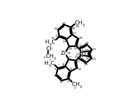 CCl.Cc1ccc(C)c2c1C=C(n1cccc1)[CH]2[Zr][CH]1C(n2cccc2)=Cc2c(C)ccc(C)c21